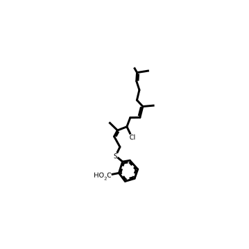 CC(C)=CCCC(C)=CCC(Cl)C(C)=CCSc1ccccc1C(=O)O